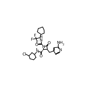 CN(C(=O)[C@@H]1C(Cc2ccnc(N)c2)C(=O)N1C(=O)N[C@@H](C1CCCCC1)C(F)(F)F)C1CCCC(Cl)C1